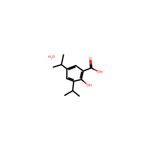 CC(C)c1cc(C(=O)O)c(O)c(C(C)C)c1.O